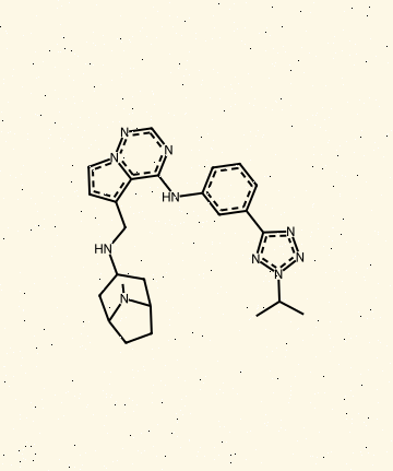 CC(C)n1nnc(-c2cccc(Nc3ncnn4ccc(CNC5CC6CCC(C5)N6C)c34)c2)n1